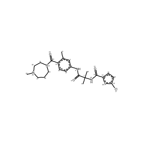 Cc1cc(NC(=O)C(C)(C)NC(=O)c2ccc(Cl)s2)ccc1C(=O)N1CCCN(C)CC1